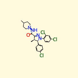 CC1CCN(NC(=O)C2=NN(c3ccc(Cl)cc3Cl)[C@@H](c3ccc(Cl)cc3)[C@H]2C)CC1